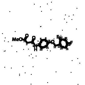 COC(=O)CC(=O)Nc1ccc(OCc2ccc(F)cc2F)cc1